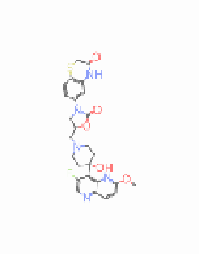 COc1ccc2ncc(F)c(C3(O)CCN(CC4CN(c5ccc6c(c5)NC(=O)CS6)C(=O)O4)CC3)c2n1